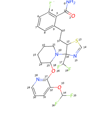 NC(=O)c1c(F)cccc1CCC1SC=NC1(C(F)F)N1CCCCC1Oc1ncccc1OC(F)F